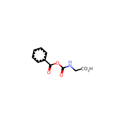 O=C(O)CNC(=O)OC(=O)c1ccccc1